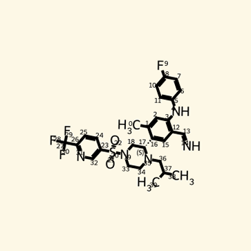 Cc1cc(Nc2ccc(F)cc2)c(C=N)cc1[C@H]1CN(S(=O)(=O)c2ccc(C(F)(F)F)nc2)CCN1CC(C)C